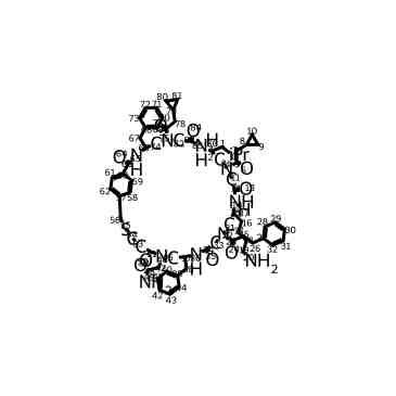 CC(C)C[C@H]1CN(C(=O)CC2CC2)CC(=O)N[C@@H](CCCCN)CN(C(=O)CCc2ccccc2)CC(=O)NC(Cc2ccccc2)CN(CC(N)=O)C(=O)CCSCc2ccc(cc2)C(=O)NC(Cc2ccccc2)CN(C(=O)CC2CC2)CC(=O)N1